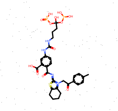 Cc1ccc(C(=O)Cn2c3c(s/c2=N\C(=O)c2ccc(NC(=O)NCCCC(O)(OP(O)O)O[PH](=O)O)cc2C(=O)O)CCCC3)cc1